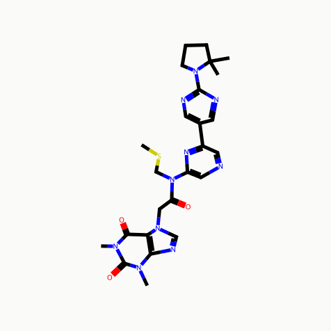 CSCN(C(=O)Cn1cnc2c1c(=O)n(C)c(=O)n2C)c1cncc(-c2cnc(N3CCCC3(C)C)nc2)n1